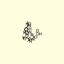 Cc1nc(-c2ccc3ncnc(NC4CC(C(=O)N(C)c5nc(C)c(C(=O)OC(C)(C)C)s5)C4)c3c2)no1.O=CO